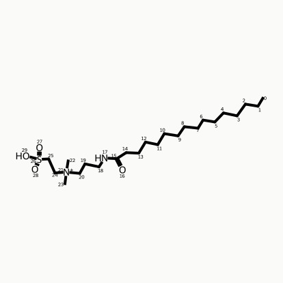 CCCCCCCCCCCCCCCC(=O)NCCC[N+](C)(C)CCS(=O)(=O)O